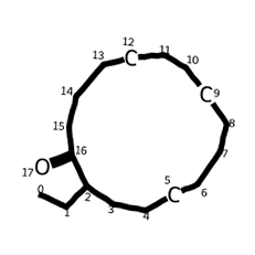 CCC1CCCCCCCCCCCCCC1=O